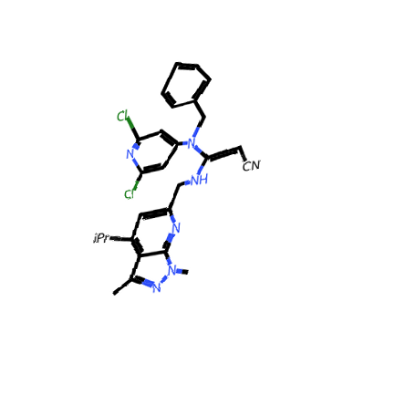 Cc1nn(C)c2nc(CN/C(=C\C#N)N(Cc3ccccc3)c3cc(Cl)nc(Cl)c3)cc(C(C)C)c12